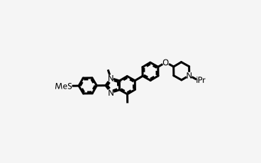 CSc1ccc(-c2nc3c(C)cc(-c4ccc(OC5CCN(C(C)C)CC5)cc4)cc3n2C)cc1